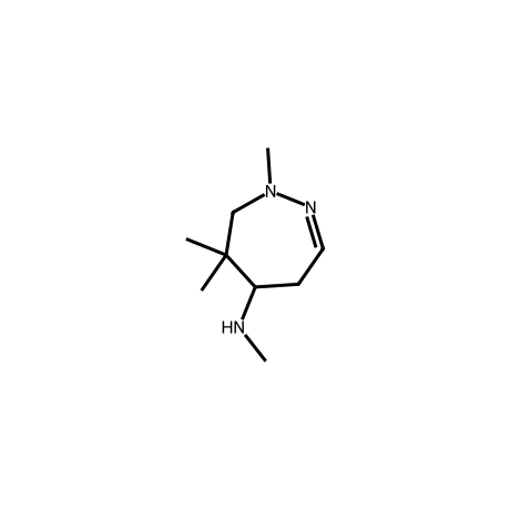 CNC1CC=NN(C)CC1(C)C